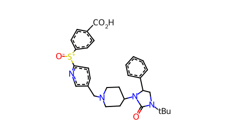 CC(C)(C)N1CC(c2ccccc2)N(C2CCN(Cc3ccc([S+]([O-])c4ccc(C(=O)O)cc4)nc3)CC2)C1=O